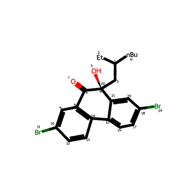 CCCCC(CC)C[C@@]1(O)C(=O)c2cc(Br)ccc2-c2ccc(Br)cc21